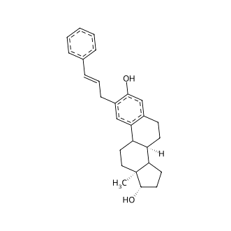 C[C@]12CCC3c4cc(C/C=C/c5ccccc5)c(O)cc4CC[C@H]3C1CC[C@@H]2O